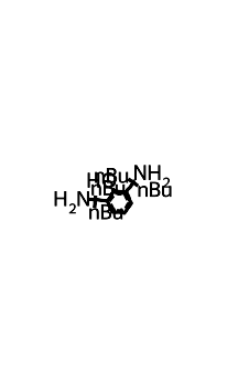 CCCCC(N)(CCCC)c1cccc(C(N)(CCCC)CCCC)c1O